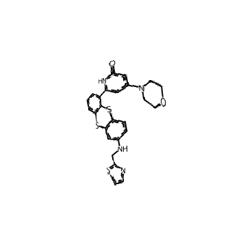 O=c1cc(N2CCOCC2)cc(-c2cccc3c2Sc2ccc(NCc4nccs4)cc2S3)[nH]1